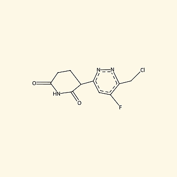 O=C1CCC(c2cc(F)c(CCl)nn2)C(=O)N1